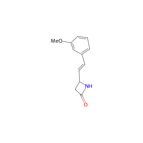 COc1cccc(C=CC2CC(=O)N2)c1